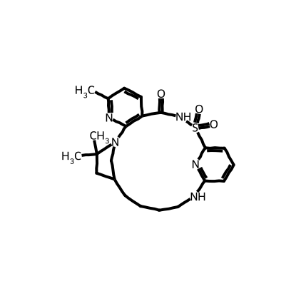 Cc1ccc2c(n1)N1CC(CCCCNc3cccc(n3)S(=O)(=O)NC2=O)CC1(C)C